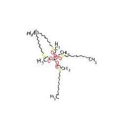 CCCCCCCCCCCCSC(C)CC(=O)OCC(COC(=O)CC(C)SCCCCCCCCCCCC)(COC(=O)CC(C)SCCCCCCCCCCCC)COC(=O)CC(C)SCCCCCCCCCCCC